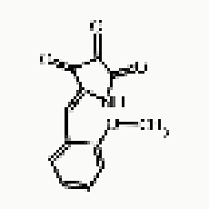 COc1ccccc1C=C1NC(=O)C(=O)C1=O